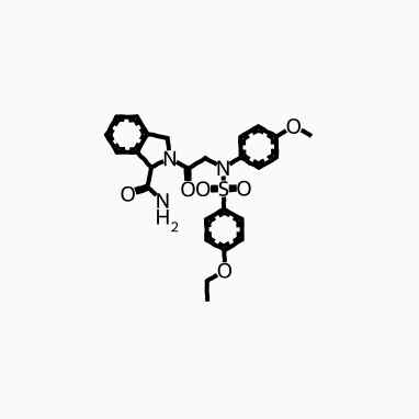 CCOc1ccc(S(=O)(=O)N(CC(=O)N2Cc3ccccc3C2C(N)=O)c2ccc(OC)cc2)cc1